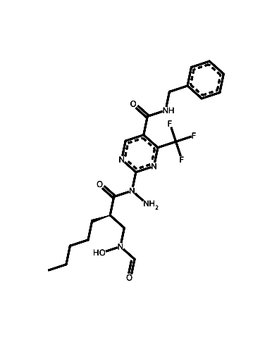 CCCCC[C@H](CN(O)C=O)C(=O)N(N)c1ncc(C(=O)NCc2ccccc2)c(C(F)(F)F)n1